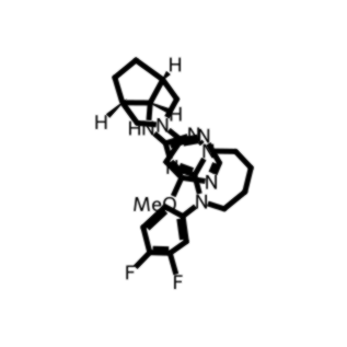 COc1cc(N2C[C@H]3CC[C@@H](C2)[C@H]3Nc2nc3n(n2)CCCCN3c2ccc(F)c(F)c2)ncn1